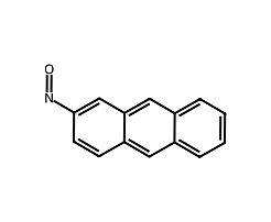 O=Nc1ccc2cc3ccccc3cc2c1